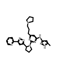 Cc1cc(Nc2cc(CCCN3CCCC3)nc(N3CCCC3c3cc(-c4ccccn4)no3)n2)n[nH]1